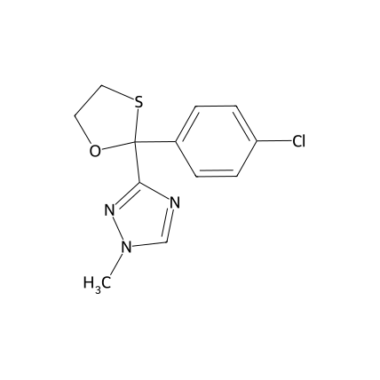 Cn1cnc(C2(c3ccc(Cl)cc3)OCCS2)n1